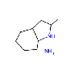 CC1CC2CCCCC2N1.N